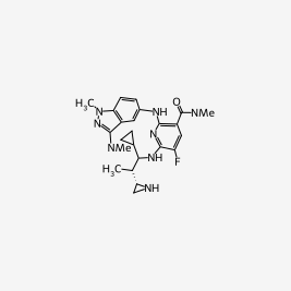 CNC(=O)c1cc(F)c(NC(C2CC2)C(C)[C@H]2CN2)nc1Nc1ccc2c(c1)c(NC)nn2C